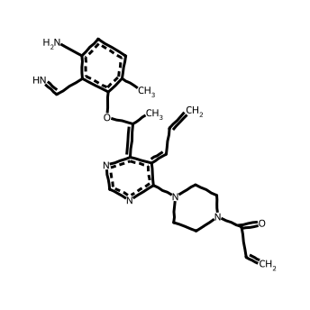 C=C/C=c1/c(N2CCN(C(=O)C=C)CC2)ncn/c1=C(/C)Oc1c(C)ccc(N)c1C=N